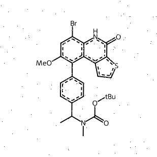 COc1cc(Br)c2[nH]c(=O)c3sccc3c2c1-c1ccc(C(C)N(C)C(=O)OC(C)(C)C)cc1